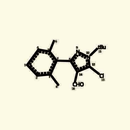 Cc1cccc(C)c1-c1nn(C(C)(C)C)c(Cl)c1C=O